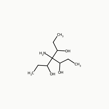 CCC(O)C(N)(C(O)CC)C(O)CC